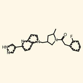 CC1CC(Cn2ccc3nc(-c4cn[nH]c4)ccc32)CN1C(=O)Cc1ccccc1F